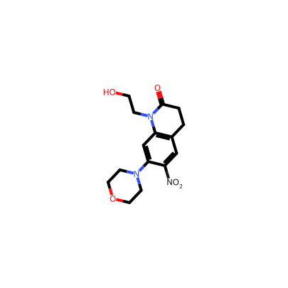 O=C1CCc2cc([N+](=O)[O-])c(N3CCOCC3)cc2N1CCO